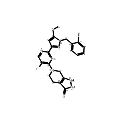 COc1cc(-c2ncc(F)c(N3CCc4c([nH][nH]c4=O)C3)n2)nn1Cc1ccccc1F